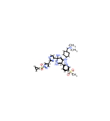 CN(C)CC1CCC(NC2=CC(N)(c3ccnc(-c4cnn(S(=O)(=O)C5CC5)c4)n3)NC=C2c2ccc(S(C)(=O)=O)cn2)CC1